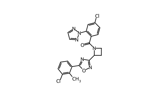 Cc1c(Cl)cccc1-c1nc(C2CCN2C(=O)c2ccc(Cl)cc2-n2nccn2)no1